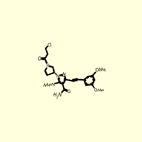 CNc1c(C(N)=O)c(C#Cc2cc(OC)cc(OC)c2)nn1[C@H]1CCN(C(=O)CCCl)C1